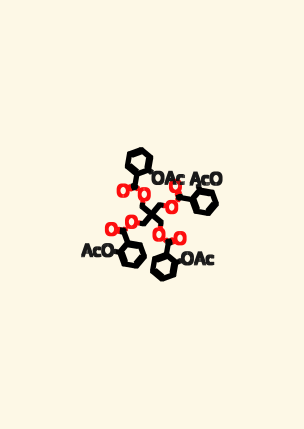 CC(=O)Oc1ccccc1C(=O)OCC(COC(=O)c1ccccc1OC(C)=O)(COC(=O)c1ccccc1OC(C)=O)COC(=O)c1ccccc1OC(C)=O